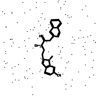 CC[C@@H](CCc1cc2ccc(C#N)cc2n1C)C(=N)Cc1ccc2ccccc2c1